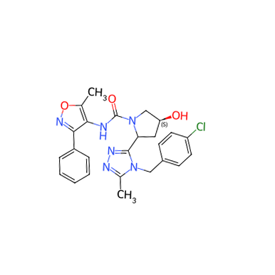 Cc1onc(-c2ccccc2)c1NC(=O)N1C[C@@H](O)CC1c1nnc(C)n1Cc1ccc(Cl)cc1